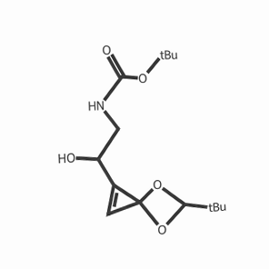 CC(C)(C)OC(=O)NCC(O)C1=CC12OC(C(C)(C)C)O2